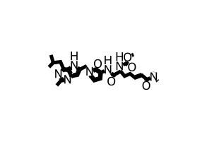 COC(=O)NC(CC/C=C/C(=O)N(C)C)C(=O)Nc1cccn(Cc2cc3nc(C)nc(CC(C)C)c3[nH]2)c1=O